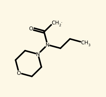 [CH2]C(=O)N(CCC)N1CCOCC1